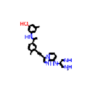 C=C(Nc1cc(C)cc(O)c1)c1ccc(C)c(C#Cc2cnc3c(N/C(C=N)=C/NC)cccn23)c1